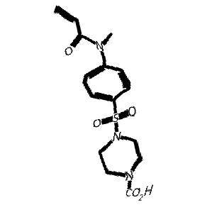 C=CC(=O)N(C)c1ccc(S(=O)(=O)N2CCN(C(=O)O)CC2)cc1